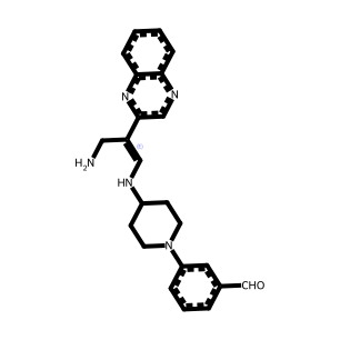 NC/C(=C\NC1CCN(c2cccc(C=O)c2)CC1)c1cnc2ccccc2n1